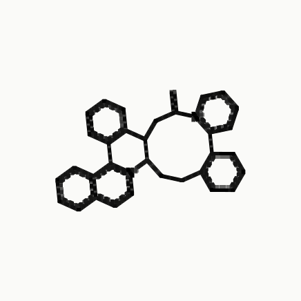 C=C1CC2c3ccccc3-c3c4ccccc4cc[n+]3C2CCc2ccccc2-c2cccc[n+]21